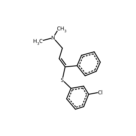 CN(C)C/C=C(/Sc1cccc(Cl)c1)c1ccccc1